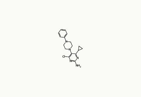 Nc1nc(Cl)c(N2CCN(c3ccccc3)CC2)c(C2CC2)n1